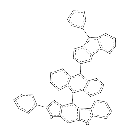 c1ccc(-c2cc3c(-c4c5ccccc5c(-c5ccc6c(c5)c5ccccc5n6-c5ccccc5)c5ccccc45)c4c(cc3o2)oc2ccccc24)cc1